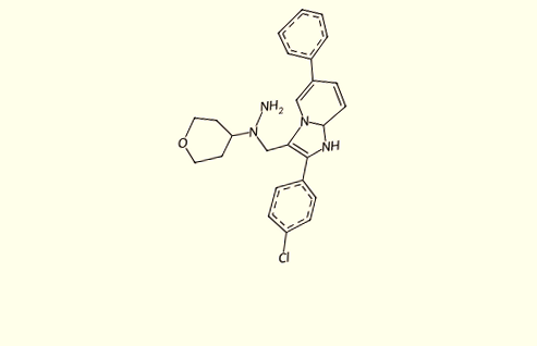 NN(CC1=C(c2ccc(Cl)cc2)NC2C=CC(c3ccccc3)=CN12)C1CCOCC1